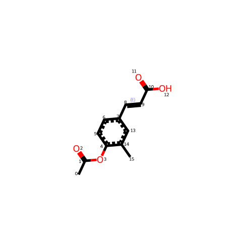 CC(=O)Oc1ccc(/C=C/C(=O)O)cc1C